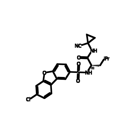 CC(C)C[C@H](NS(=O)(=O)c1ccc2oc3cc(Cl)ccc3c2c1)C(=O)NC1(C#N)CC1